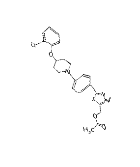 CC(=O)OCc1nnc(-c2ccc(N3CCC(Oc4ccccc4Cl)CC3)cc2)s1